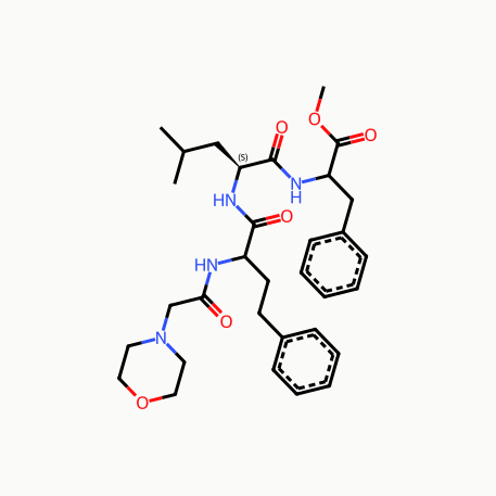 COC(=O)C(Cc1ccccc1)NC(=O)[C@H](CC(C)C)NC(=O)C(CCc1ccccc1)NC(=O)CN1CCOCC1